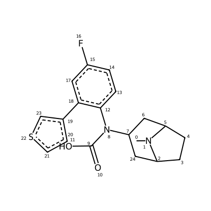 CN1C2CCC1CC(N(C(=O)O)c1ccc(F)cc1-c1ccsc1)C2